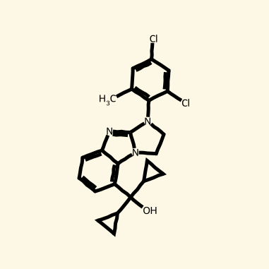 Cc1cc(Cl)cc(Cl)c1N1CCn2c1nc1cccc(C(O)(C3CC3)C3CC3)c12